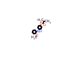 C=C(C)C(=O)Oc1ccc(Nc2ccccc2OC)cc1